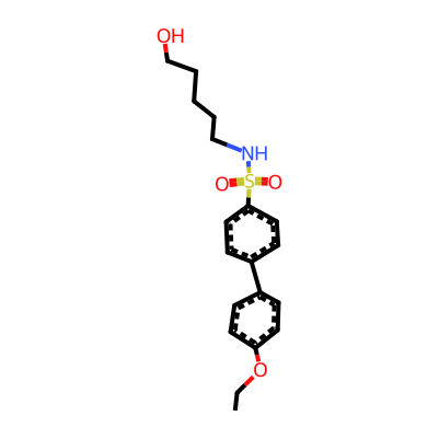 CCOc1ccc(-c2ccc(S(=O)(=O)NCCCCCO)cc2)cc1